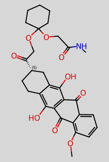 CNC(=O)COC1(OCC(=O)[C@H]2CCc3c(O)c4c(c(O)c3C2)C(=O)c2cccc(OC)c2C4=O)CCCCC1